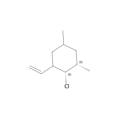 C=CC1CC(C)C[C@H](C)[C@@H]1Cl